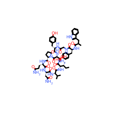 CC[C@@H](C)[C@H](NC(=O)[C@@H](NC(=O)[C@H](CC(N)=O)NC(=O)[C@H](CCC(N)=O)NC(=O)[C@@H]1CCCN1C(=O)[C@@H](NC(=O)[C@H](Cc1ccc(O)cc1)NC(=O)CNC(=O)[C@H](Cc1ccc(O)cc1)NC(=O)C(C)Cc1c[nH]c2ccccc12)C(C)O)C(C)C)C(N)=O